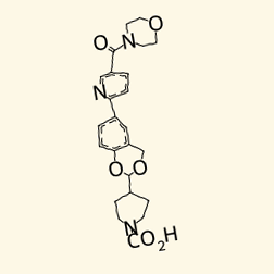 O=C(O)N1CCC(C2OCc3cc(-c4ccc(C(=O)N5CCOCC5)cn4)ccc3O2)CC1